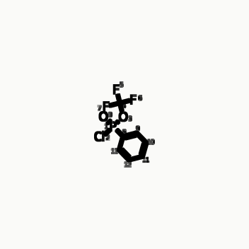 O=P(Cl)(OC(F)(F)F)c1ccccc1